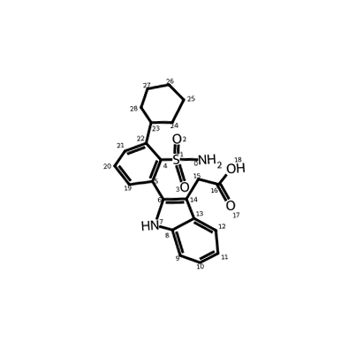 NS(=O)(=O)c1c(-c2[nH]c3ccccc3c2CC(=O)O)cccc1C1CCCCC1